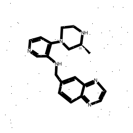 C[C@H]1CN(c2ccncc2NCc2ccc3nccnc3c2)CCN1